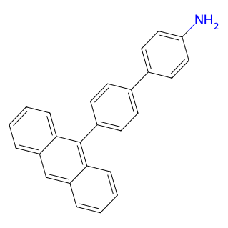 Nc1ccc(-c2ccc(-c3c4ccccc4cc4ccccc34)cc2)cc1